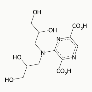 O=C(O)c1cnc(C(=O)O)c(N(CC(O)CO)CC(O)CO)n1